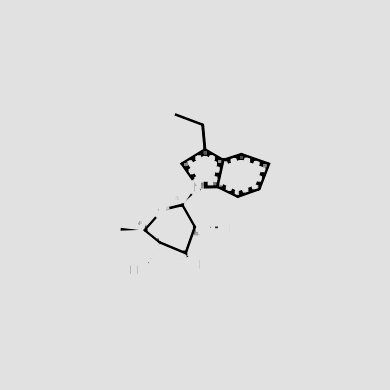 CCc1cn([C@@H]2O[C@H](C)[C@@H](O)[C@H](O)[C@H]2O)c2ccccc12